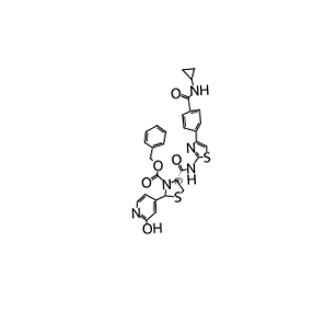 O=C(NC1CC1)c1ccc(-c2csc(NC(=O)[C@@H]3CSC(c4ccnc(O)c4)N3C(=O)OCc3ccccc3)n2)cc1